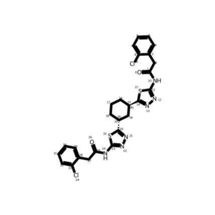 O=C(Cc1ccccc1Cl)Nc1nnc([C@@H]2CCC[C@@H](c3nnc(NC(=O)Cc4ccccc4Cl)s3)C2)s1